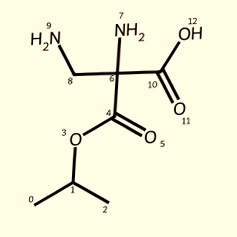 CC(C)OC(=O)C(N)(CN)C(=O)O